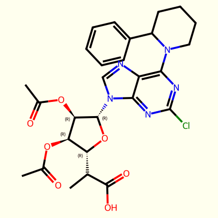 CC(=O)O[C@@H]1[C@H](OC(C)=O)[C@@H](C(C)C(=O)O)O[C@H]1n1cnc2c(N3CCCCC3c3ccccc3)nc(Cl)nc21